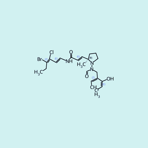 C/C=C(CN(C=O)N1CCC[C@]1(C)/C=C/C(=O)N/C=C/C(Cl)=C(/Br)CC)\C(O)=C/C